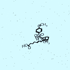 COc1ccc(S(=O)(=O)NC2C(CC=CCCCC(=O)O)CC3CC2C3(C)C)cc1